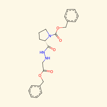 O=C(CNNC(=O)[C@@H]1CCCN1C(=O)OCc1ccccc1)OCc1ccccc1